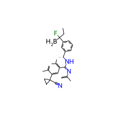 BC(F)(CC)c1cccc([C@@H](C)N/C(=N/C(=C)C)C(/C=C(\C(=C)C)C2(C#N)CC2)=C(C)C)c1